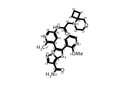 COc1ncccc1-c1sc2c(C(N)=O)cnn2c1-c1cc(NC(=O)CN2CCOCC23CCC3)cnc1C